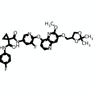 COc1nc2c(Oc3ncc(NC(=O)C4(C(=O)Nc5ccc(F)cc5)CC4)cc3F)ccnc2cc1OCC1COC(C)(C)O1